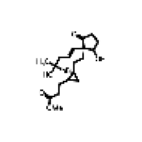 CCCCC(C)(O)C/C=C/[C@]1(CC[C@H]2CC2CCC(=O)OC)C(=O)CCC1O